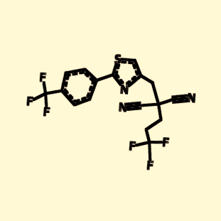 N#CC(C#N)(CCC(F)(F)F)Cc1csc(-c2ccc(C(F)(F)F)cc2)n1